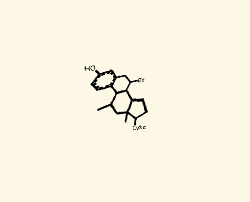 CCC1Cc2cc(O)ccc2C2C(C)CC3(C)C(OC(C)=O)CCC3C12